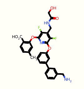 Cc1ccc(C(=O)O)c(Oc2nc(Oc3cccc(-c4cccc(CN)c4)c3)c(F)c(CNC(=O)CO)c2F)c1